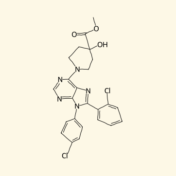 COC(=O)C1(O)CCN(c2ncnc3c2nc(-c2ccccc2Cl)n3-c2ccc(Cl)cc2)CC1